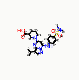 CC(C)c1cnn2c(Nc3ccc(S(=O)(=O)N(C)C)cc3)cc(N3CCCC(C(=O)O)C3)nc12